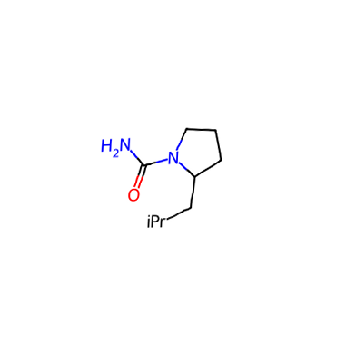 CC(C)CC1CCCN1C(N)=O